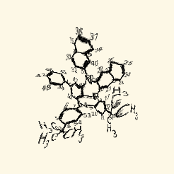 CC(C)(C)c1ccc(N2c3ccc(C(C)(C)C)cc3B3c4cc5ccccc5cc4N(c4ccc5ccccc5c4)c4cc(-c5ccccc5)cc2c43)cc1